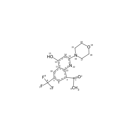 CC(=O)c1cc(C(F)(F)F)cc2c(O)cc(N3CCOCC3)nc12